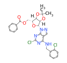 CC1(C)O[C@@H]2[C@H](O1)[C@@H](COC(=O)c1ccccc1)O[C@H]2n1ncc2c(NCc3ccccc3Cl)nc(Cl)nc21